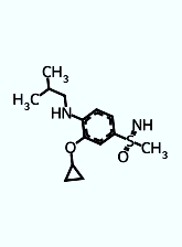 CC(C)CNc1ccc(S(C)(=N)=O)cc1OC1CC1